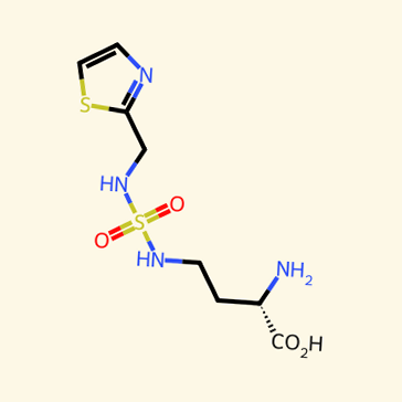 N[C@@H](CCNS(=O)(=O)NCc1nccs1)C(=O)O